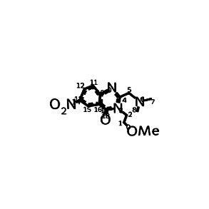 COCCn1c(CN(C)C)nc2ccc([N+](=O)[O-])cc2c1=O